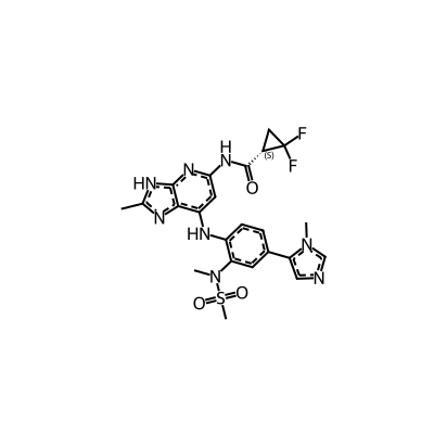 Cc1nc2c(Nc3ccc(-c4cncn4C)cc3N(C)S(C)(=O)=O)cc(NC(=O)[C@@H]3CC3(F)F)nc2[nH]1